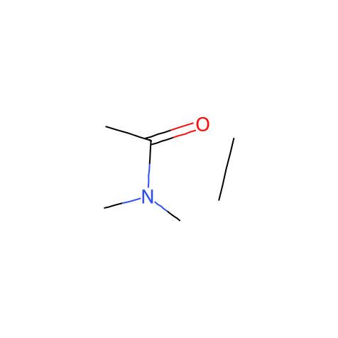 CC.CC(=O)N(C)C